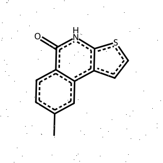 Cc1ccc2c(=O)[nH]c3sccc3c2c1